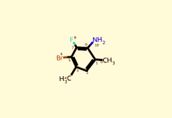 Cc1cc(C)c(Br)c(F)c1N